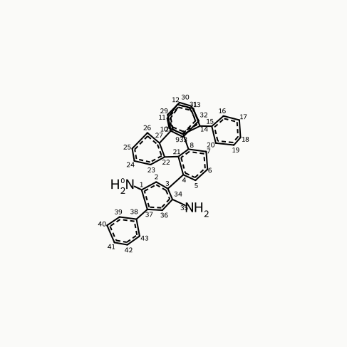 Nc1cc(-c2cccc(-c3ccccc3-c3ccccc3)c2-c2ccccc2-c2ccccc2)c(N)cc1-c1ccccc1